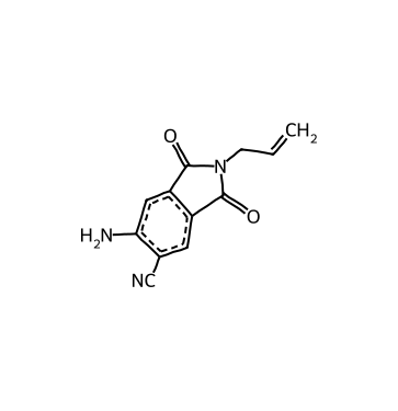 C=CCN1C(=O)c2cc(N)c(C#N)cc2C1=O